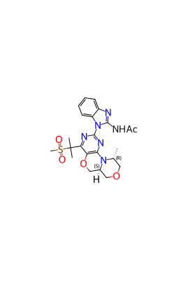 CC(=O)Nc1nc2ccccc2n1-c1nc2c(c(C(C)(C)S(C)(=O)=O)n1)OC[C@@H]1COC[C@@H](C)N21